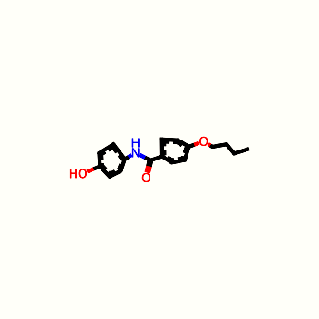 CCCCOc1ccc(C(=O)Nc2ccc(O)cc2)cc1